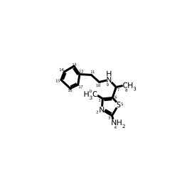 Cc1nc(N)sc1C(C)NCCc1ccccc1